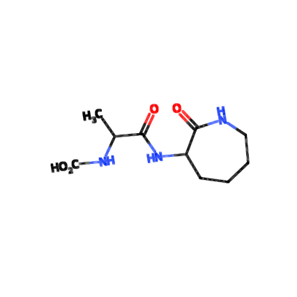 CC(NC(=O)O)C(=O)NC1CCCCNC1=O